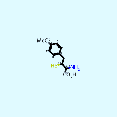 COc1ccc(CC(S)C(N)C(=O)O)cc1